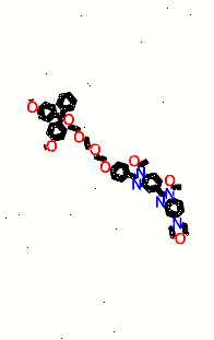 COc1ccc(C(OCCOCCOCCOc2ccc(-c3nc4cc(-c5nc6cc(N7CCOCC7)ccc6n5C(C)=O)ccc4n3C(C)=O)cc2)(c2ccccc2)c2ccc(OC)cc2)cc1